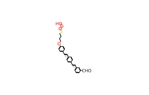 O=Cc1cccc(/C=C/c2ccc(/C=C/c3ccc(OCCCCSOOO)cc3)cc2)c1